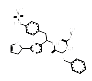 COC(=O)N[C@H](Cc1ccccc1)C(=O)NC(Cc1ccc(NS(=O)(=O)O)cc1)c1csc(C2CC=CS2)n1